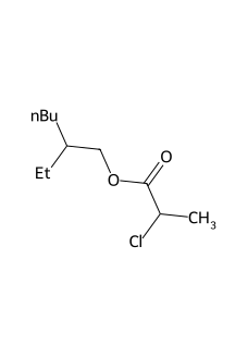 CCCCC(CC)COC(=O)C(C)Cl